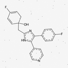 OC1(Cc2nc(-c3ccc(F)cc3)c(-c3ccncc3)[nH]2)C=CC(F)=CC1